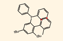 Cc1cccnc1-c1c(P(c2ccccc2)c2ccccc2)cc(C(C)(C)C)cc1C(C)(C)C